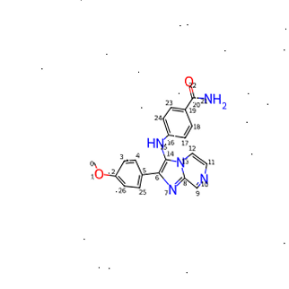 COc1ccc(-c2nc3cnccn3c2Nc2ccc(C(N)=O)cc2)cc1